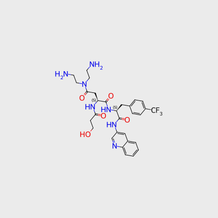 NCCN(CCN)C(=O)C[C@H](NC(=O)CCO)C(=O)N[C@@H](Cc1ccc(C(F)(F)F)cc1)C(=O)Nc1cnc2ccccc2c1